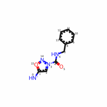 [NH-]c1c[n+](C(=O)NCc2ccccc2)no1